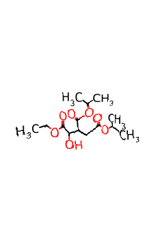 CCOC(=O)C(O)C(CC(=O)OC(C)C)C(=O)OC(C)C